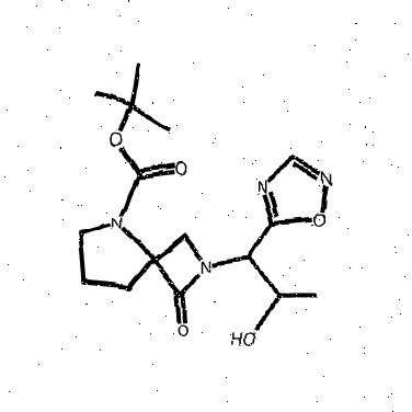 CC(O)C(c1ncno1)N1CC2(CCCN2C(=O)OC(C)(C)C)C1=O